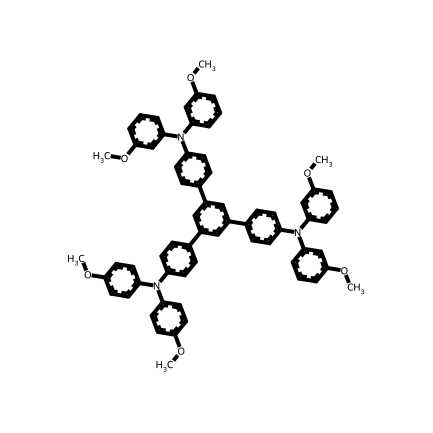 COc1ccc(N(c2ccc(OC)cc2)c2ccc(-c3cc(-c4ccc(N(c5cccc(OC)c5)c5cccc(OC)c5)cc4)cc(-c4ccc(N(c5cccc(OC)c5)c5cccc(OC)c5)cc4)c3)cc2)cc1